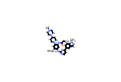 C=CC(=O)Nc1cc(Nc2nccc(-c3ccc4c(cnn4C)c3)n2)c(OC)cc1N1CCC(N2CCN(C(C)=O)CC2)CC1